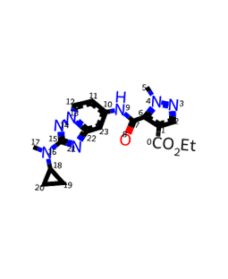 CCOC(=O)c1cnn(C)c1C(=O)Nc1ccn2nc(N(C)C3CC3)nc2c1